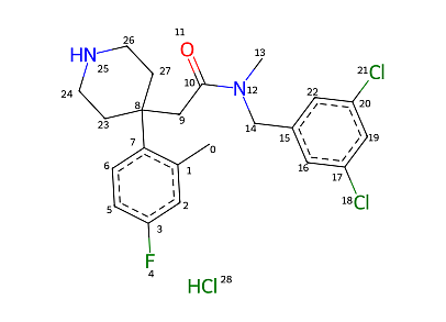 Cc1cc(F)ccc1C1(CC(=O)N(C)Cc2cc(Cl)cc(Cl)c2)CCNCC1.Cl